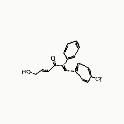 O=C(/C=C/CO)/C(=C/c1ccc(Cl)cc1)c1ccccc1